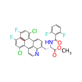 COC(=O)[C@H](Cc1ccc(-c2ccc(F)cc2Cl)c2c(-c3ccc(F)cc3Cl)ccnc12)NC(=O)c1c(F)cccc1F